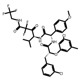 COc1ccc([C@H](NC(=O)[C@@H](Cc2cccc(Cl)c2)Oc2cc(C)cc(Cl)c2)C(=O)N[C@H](C(=O)C(F)(F)C(=O)NCC(F)(F)F)C(C)C)cc1